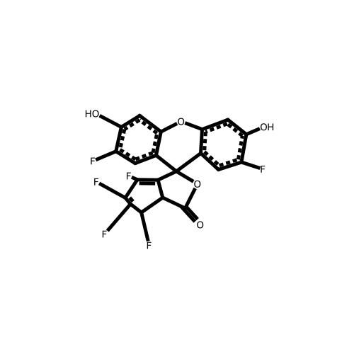 O=C1OC2(C3=C(F)C(F)=C(F)C(F)C13)c1cc(F)c(O)cc1Oc1cc(O)c(F)cc12